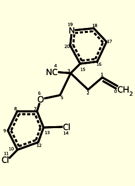 C=CCC(C#N)(COc1ccc(Cl)cc1Cl)c1cccnc1